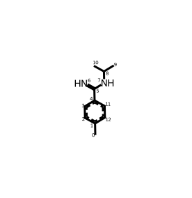 Cc1ccc(C(=N)NC(C)C)cc1